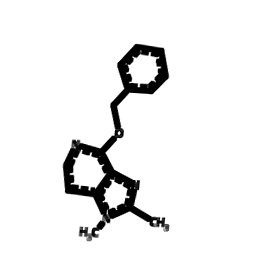 Cc1nc2c(OCc3ccccc3)nccc2n1C